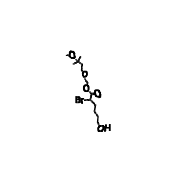 COC(C)(C)CCOCCOC(=O)C(Br)CCCCO